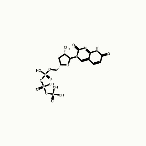 C[C@H]1C[C@@H](COP(=O)(O)OP(=O)(O)OP(=O)(O)O)OC1n1cc2ccc(=O)[nH]c2nc1=O